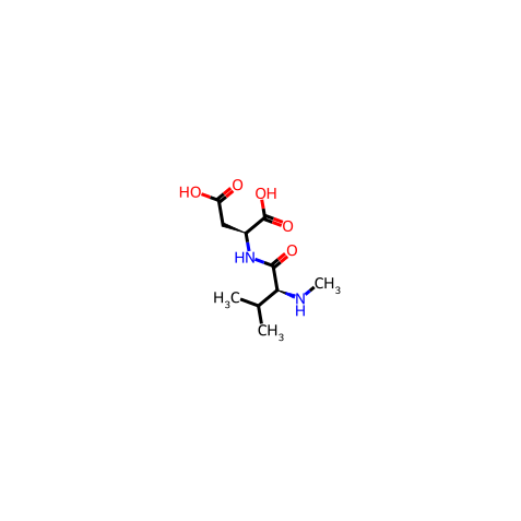 CN[C@H](C(=O)N[C@@H](CC(=O)O)C(=O)O)C(C)C